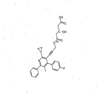 Cc1c(-c2ccccc2)nc(C2CC2)c(C#CCO[PH](=O)C[C@@H](O)CC(=O)O)c1-c1ccc(F)cc1